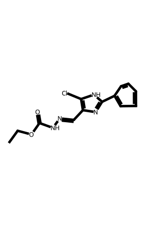 CCOC(=O)NN=Cc1nc(-c2ccccc2)[nH]c1Cl